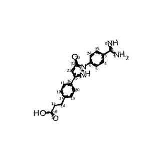 N=C(N)c1ccc(-n2[nH]c(-c3ccc(CCC(=O)O)cc3)cc2=O)cc1